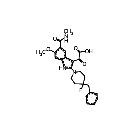 CNC(=O)c1cc2c(C(=O)C(=O)O)c(N3CCC(F)(Cc4ccccc4)CC3)[nH]c2cc1OC